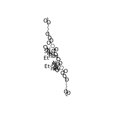 C=CC(=O)OCCCCCCOc1ccc(OC(=O)C2CCC(C(=O)Oc3ccc(-c4ccc(OC(=O)C5CCC(C(=O)Oc6ccc(OCCCCCCOC(=O)C=C)cc6)CC5)c(/C=N/N(CC(CC)CCCC)c5nc6ccccc6s5)c4)cc3/C=N/N(CC(CC)CCCC)c3nc4ccccc4s3)CC2)cc1